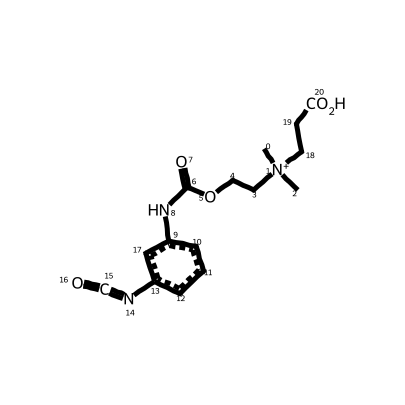 C[N+](C)(CCOC(=O)Nc1cccc(N=C=O)c1)CCC(=O)O